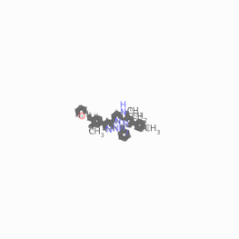 C=C(Nc1ccc(-c2cc(-c3ccc(CC[C@H]4CCCCO4)c(CC)c3)cnc2N)nc1)C1=CN(CC2CCCCC2)C=C(c2ccc(C)cc2)C1=C